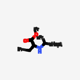 CCCCCCCC(CCC)NC(CC(C)C)C(=O)OC(C)C